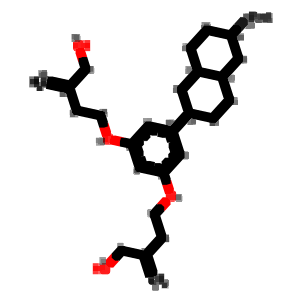 C=C(CO)CCOc1cc(OCCC(=C)CO)cc(C2CCC3CC(CCCCC)CCC3C2)c1